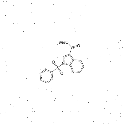 COC(=O)c1cn(S(=O)(=O)c2ccccc2)c2ncccc12